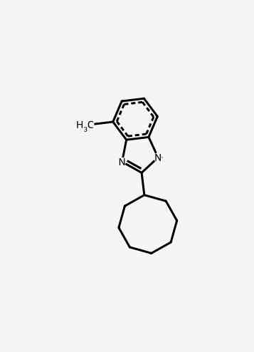 Cc1cccc2c1N=C(C1CCCCCCC1)[N]2